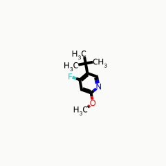 COc1cc(F)c(C(C)(C)C)cn1